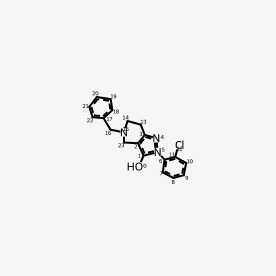 Oc1c2c(nn1-c1ccccc1Cl)CCN(Cc1ccccc1)C2